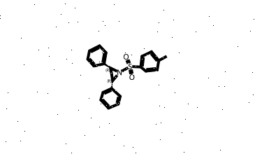 Cc1ccc(S(=O)(=O)N2[C@H](c3ccccc3)[C@H]2c2ccccc2)cc1